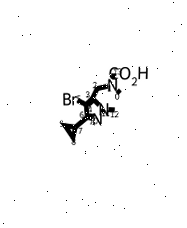 CN(Cc1c(Br)c(C2CC2)nn1C)C(=O)O